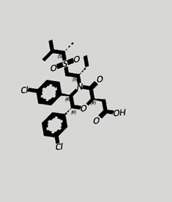 CC[C@@H](CS(=O)(=O)[C@@H](C)C(C)C)N1C(=O)[C@@H](CC(=O)O)O[C@H](c2cccc(Cl)c2)[C@H]1c1ccc(Cl)cc1